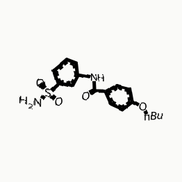 CCCCOc1ccc(C(=O)Nc2cccc(S(N)(=O)=O)c2)cc1